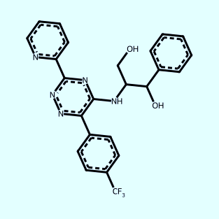 OCC(Nc1nc(-c2ccccn2)nnc1-c1ccc(C(F)(F)F)cc1)C(O)c1ccccc1